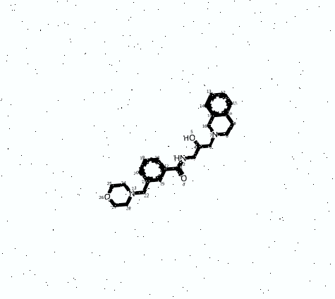 O=C(NCC(O)CN1CCc2ccccc2C1)c1cccc(CN2CCOCC2)c1